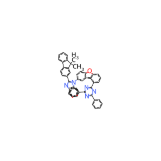 CC1(C)c2ccccc2-c2ccc(-c3nc4ccccc4n3-c3ccc4oc5cccc(-c6nc(-c7ccccc7)nc(-c7ccccc7)n6)c5c4c3)cc21